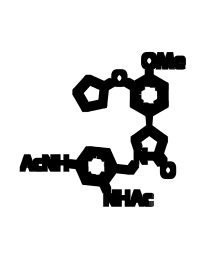 COc1ccc([C@H]2CC(=O)N(Cc3ccc(NC(C)=O)cc3NC(C)=O)C2)cc1OC1CCCC1